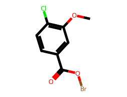 COc1cc(C(=O)OBr)ccc1Cl